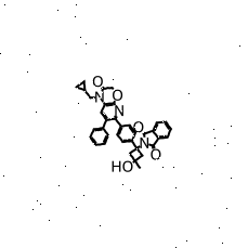 CC1(O)CC(c2ccc(-c3nc4c(cc3-c3ccccc3)N(CC3CC3)C(=O)CO4)cc2)(N2C(=O)c3ccccc3C2=O)C1